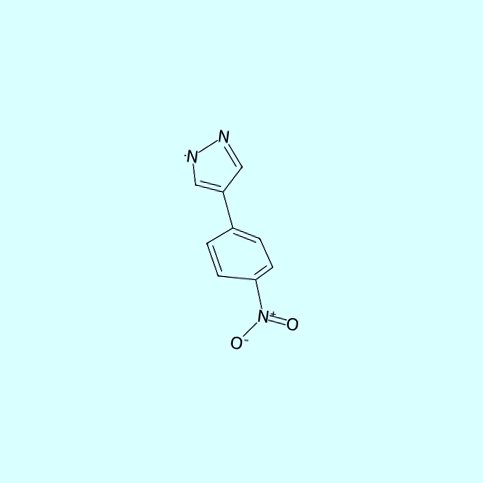 O=[N+]([O-])c1ccc(C2=C[N]N=C2)cc1